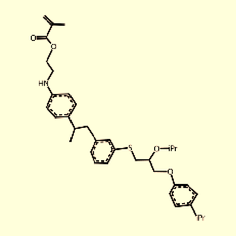 C=C(C)C(=O)OCCNc1ccc(C(C)Cc2cccc(SCC(COc3ccc(C(C)C)cc3)OC(C)C)c2)cc1